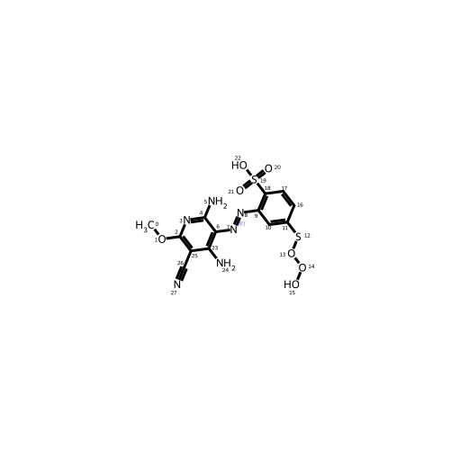 COc1nc(N)c(/N=N/c2cc(SOOO)ccc2S(=O)(=O)O)c(N)c1C#N